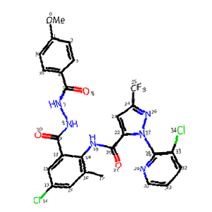 COc1ccc(C(=O)NNC(=O)c2cc(Cl)cc(C)c2NC(=O)c2cc(C(F)(F)F)nn2-c2ncccc2Cl)cc1